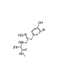 CCC(NCC(Cc1ccc(O)c(Br)c1)=NO)C(N)=O